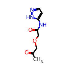 CC(=O)COCC(=O)Nc1ccn[nH]1